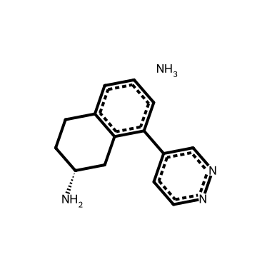 N.N[C@@H]1CCc2cccc(-c3ccnnc3)c2C1